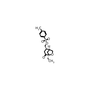 CC[C@]12C[C@H](CO1)[C@H](COS(=O)(=O)c1ccc(C)cc1)CC2=O